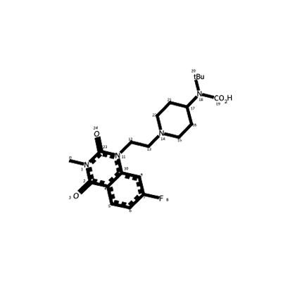 Cn1c(=O)c2ccc(F)cc2n(CCN2CCC(N(C(=O)O)C(C)(C)C)CC2)c1=O